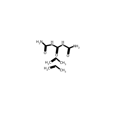 C=CC.C=CC.NC(=O)NC(=O)NC(N)=O